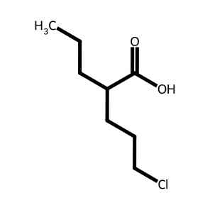 CCCC(CCCCl)C(=O)O